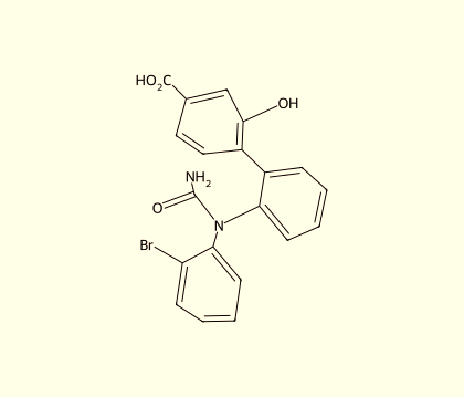 NC(=O)N(c1ccccc1Br)c1ccccc1-c1ccc(C(=O)O)cc1O